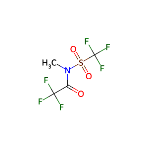 CN(C(=O)C(F)(F)F)S(=O)(=O)C(F)(F)F